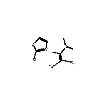 CC(=C(N)[N+](=O)[O-])N(C)C.Clc1nccs1